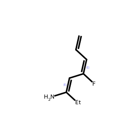 C=C/C=C(F)\C=C(\N)CC